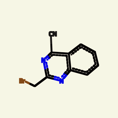 N#Cc1nc(CBr)nc2ccccc12